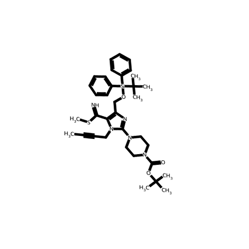 CC#CCn1c(N2CCN(C(=O)OC(C)(C)C)CC2)nc(CO[Si](c2ccccc2)(c2ccccc2)C(C)(C)C)c1C(=N)SC